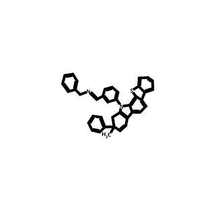 CC1(c2ccccc2)C=Cc2c(n(-c3cccc(/C=N/Cc4ccccc4)c3)c3c2ccc2c4ccccc4sc23)C1